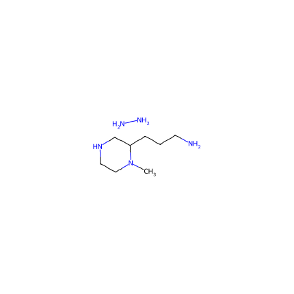 CN1CCNCC1CCCN.NN